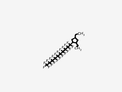 C=CC1CC(CC)CC1C(F)(F)C(F)(F)C(F)(F)C(F)(F)C(F)(F)C(F)(F)C(F)(F)C(F)(F)C(F)(F)C(F)(F)F